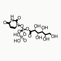 O=C(OP(=O)(On1ccc(=O)[nH]c1=O)OP(=O)(O)O)[C@H](O)[C@@H](O)[C@H](O)[C@H](O)CO